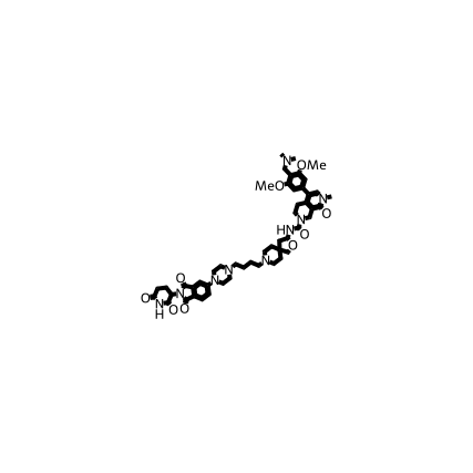 COc1cc(-c2cn(C)c(=O)c3c2CCN(C(=O)NC2CC4(CCN(CCCCN5CCN(c6ccc7c(c6)C(=O)N(C6CCC(=O)NC6=O)C7=O)CC5)CC4)CO2)C3)cc(OC)c1CN(C)C